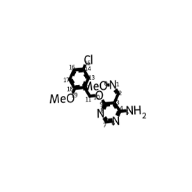 CO/N=C\c1c(N)ncnc1OCc1cc(Cl)ccc1OC